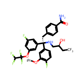 CC(C)Oc1cc([C@](Cc2ccc(C(N)=O)cc2)(NC[C@@H](O)CC(F)(F)F)c2cc(F)cc(OC(F)(F)C(F)F)c2)ccc1F